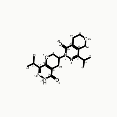 CC(C)c1nn(C2COc3c(C(C)C)n[nH]c(=O)c3C2)c(=O)c2c1COCC2